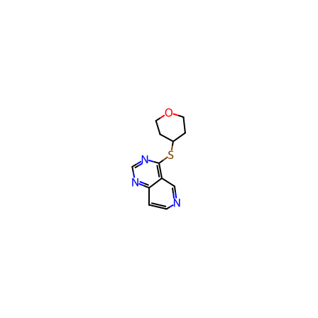 c1cc2ncnc(SC3CCOCC3)c2cn1